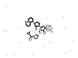 CC1(C)N=C(c2ccc(-c3cccc4ncccc34)cc2F)N(CC[C@@H]2CCN(C(=O)C3CC3)C2)C1=O